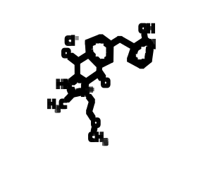 COCC[n+]1c(C)[nH]c2c1C(=O)c1cc(Cc3cccnc3O)ccc1C2=O.[Cl-]